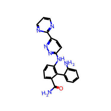 NC(=O)c1cccc(Nc2ccc(-c3ncccn3)nn2)c1-c1ccccc1N